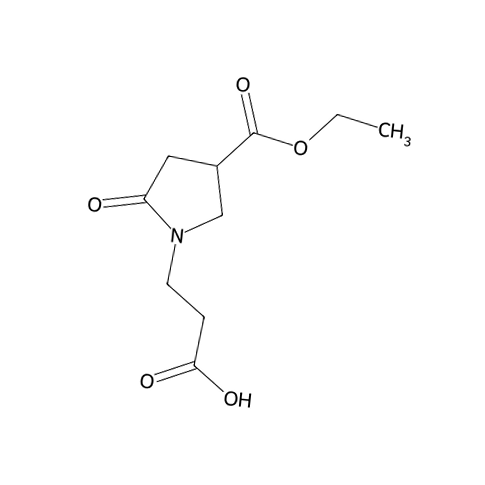 CCOC(=O)C1CC(=O)N(CCC(=O)O)C1